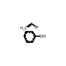 C=CBr.Oc1ccccc1